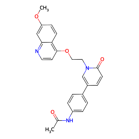 COc1ccc2c(OCCn3cc(-c4ccc(NC(C)=O)cc4)ccc3=O)ccnc2c1